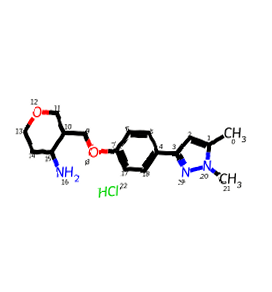 Cc1cc(-c2ccc(OCC3COCCC3N)cc2)nn1C.Cl